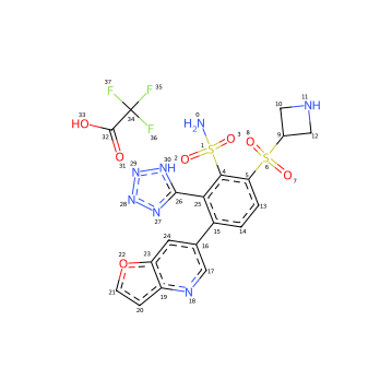 NS(=O)(=O)c1c(S(=O)(=O)C2CNC2)ccc(-c2cnc3ccoc3c2)c1-c1nnn[nH]1.O=C(O)C(F)(F)F